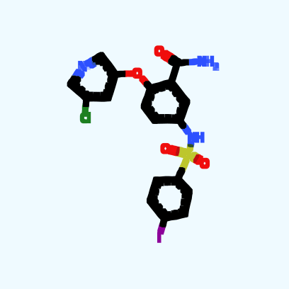 NC(=O)c1cc(NS(=O)(=O)c2ccc(I)cc2)ccc1Oc1cncc(Cl)c1